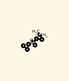 C=C/C=C\C(=C)c1ccccc1-c1cccc(-n2c(=O)n(-c3cccc(-c4ccccc4-c4ccccc4)c3)c3ccccc32)c1